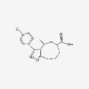 CC1CC(C(=O)O)CCCc2onc(-c3ccc(Cl)cc3)c21